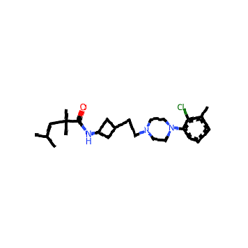 Cc1cccc(N2CCN(CCC3CC(NC(=O)C(C)(C)CC(C)C)C3)CC2)c1Cl